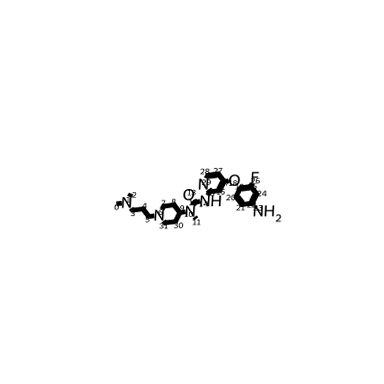 CN(C)CCCN1CCC(N(C)C(=O)Nc2cc(Oc3ccc(N)cc3F)ccn2)CC1